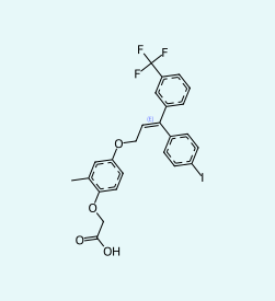 Cc1cc(OC/C=C(\c2ccc(I)cc2)c2cccc(C(F)(F)F)c2)ccc1OCC(=O)O